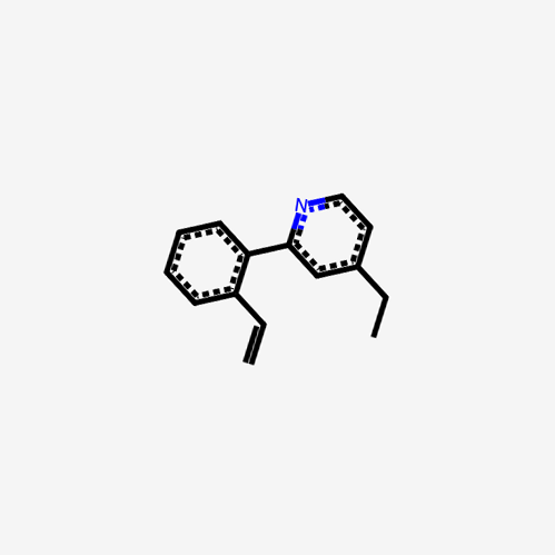 C=Cc1ccccc1-c1cc(CC)ccn1